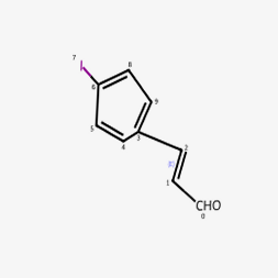 O=C/C=C/c1ccc(I)cc1